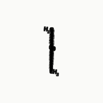 CCCCCCCCCCCCCCCCCCC(=O)OCCCCCCCCCCCCCC